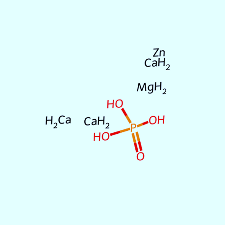 O=P(O)(O)O.[CaH2].[CaH2].[CaH2].[MgH2].[Zn]